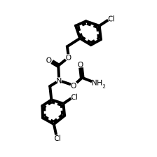 NC(=O)ON(Cc1ccc(Cl)cc1Cl)C(=O)OCc1ccc(Cl)cc1